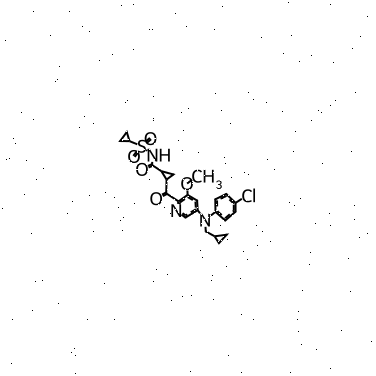 COc1cc(N(CC2CC2)c2ccc(Cl)cc2)cnc1C(=O)C1CC1C(=O)NS(=O)(=O)C1CC1